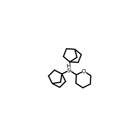 C1CCC([SiH](C23CCC(CC2)C3)C23CCC(CC2)C3)OC1